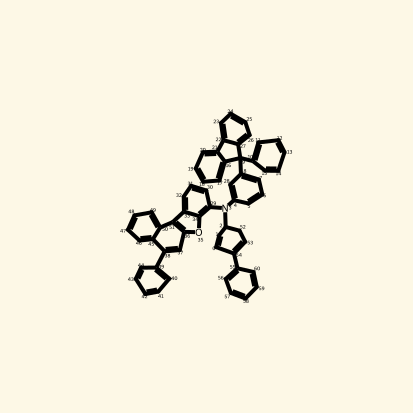 C1=CC(N(c2cccc(C3(c4ccccc4)c4ccccc4-c4ccccc43)c2)c2cccc3c2oc2cc(-c4ccccc4)c4ccccc4c23)CC=C1c1ccccc1